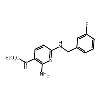 CCOC(=O)Nc1ccc(NCc2cccc(F)c2)nc1N